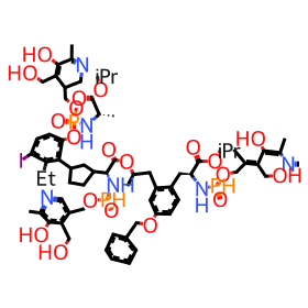 C=N/C(C)=C(O)\C(CO)=C(/C)CO[PH](=O)N[C@@H](Cc1ccc(OCc2ccccc2)cc1CC(C)OC(=O)[C@@H](N[PH](=O)OCc1cnc(C)c(O)c1CO)C1CCC(c2c(OP(=O)(N[C@@H](C)C(=O)OC(C)C)OCC3CN=C(C)C(O)=C3CO)ccc(I)c2CC)C1)C(=O)OC(C)C